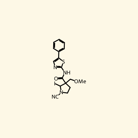 COCC1(C(=O)Nc2ncc(-c3ccccc3)s2)CCN(C#N)C1I